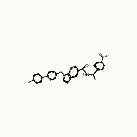 Cc1ccc(-c2ccc(Cn3ccc4cc(C(=O)NC(C)c5ccc([N+](=O)[O-])cc5)ccc43)cc2)cc1